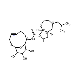 CC(C)C[C@@H]1CCO[C@@H]2[C@H](CN[C@@H]2C(=O)N[C@@H]2CC/C=C/CSC3OC2C(O)C(O)C3O)C1